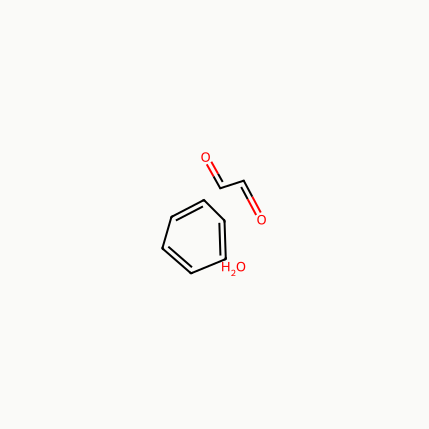 O.O=CC=O.c1ccccc1